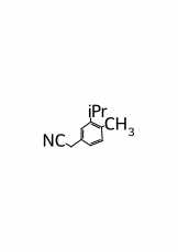 Cc1ccc(CC#N)cc1C(C)C